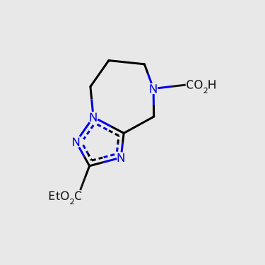 CCOC(=O)c1nc2n(n1)CCCN(C(=O)O)C2